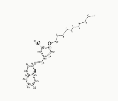 CCCCCCCCCCCOc1ccc(C=Cc2ccc3ccccc3n2)cc1OC